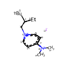 CCCCC(CC)C[n+]1ccc(N(C)C)cc1.[I-]